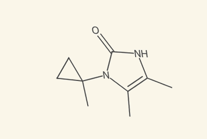 Cc1[nH]c(=O)n(C2(C)CC2)c1C